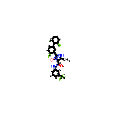 Cc1[nH]c(-c2cc(-c3c(F)cccc3F)ccc2F)[n+](O)c1C(=O)Nc1cccc(C(F)(F)F)c1